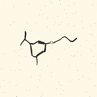 CCCCOc1cc(F)cc([C](C)C)c1